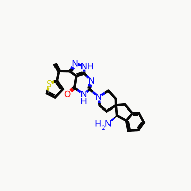 C=C(c1cccs1)c1n[nH]c2nc(N3CCC4(CC3)Cc3ccccc3[C@H]4N)[nH]c(=O)c12